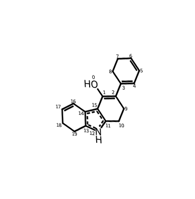 OC1=C(C2=CC=CCC2)CCc2[nH]c3c(c21)C=CCC3